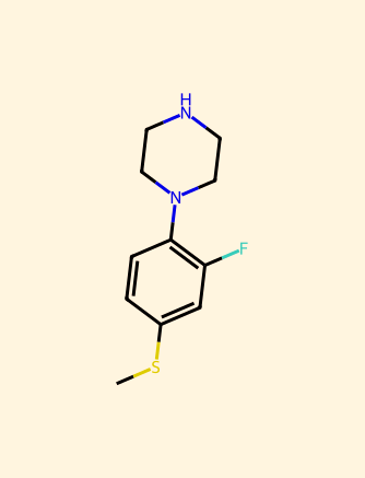 CSc1ccc(N2CCNCC2)c(F)c1